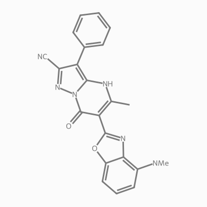 CNc1cccc2oc(-c3c(C)[nH]c4c(-c5ccccc5)c(C#N)nn4c3=O)nc12